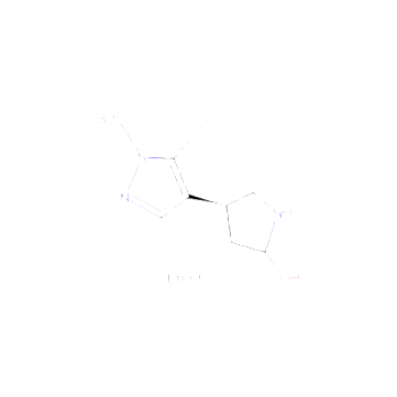 CCOC(=O)[C@H]1C(O)NC[C@@H]1c1cnn(C)c1Cl